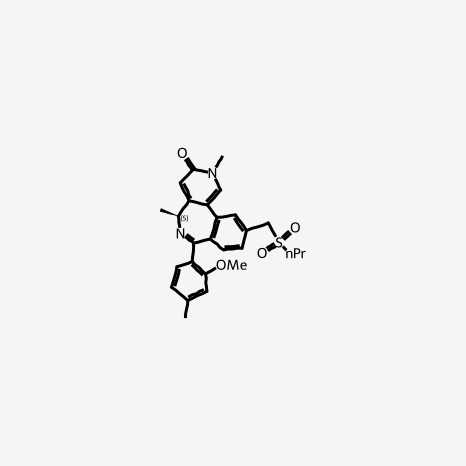 CCCS(=O)(=O)Cc1ccc2c(c1)-c1cn(C)c(=O)cc1[C@H](C)N=C2c1ccc(C)cc1OC